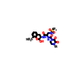 CCN1CCN(C(=O)NC(CNS(=O)(=O)C(F)(F)F)C(=O)N[C@H]2Cc3cccc(C(=O)O)c3OB2O)C(=O)C1=O